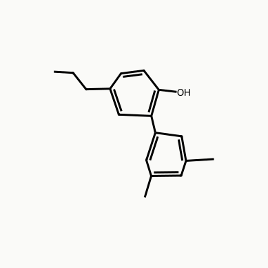 CCCc1ccc(O)c(-c2cc(C)cc(C)c2)c1